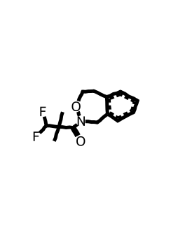 CC(C)(C(=O)N1Cc2ccccc2CCO1)C(F)F